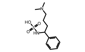 CN(C)CCCC(NS(=O)(=O)O)c1ccccc1